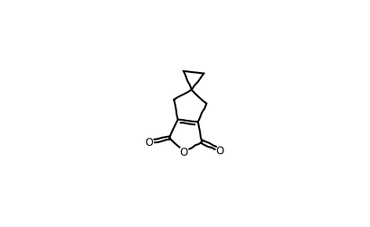 O=C1OC(=O)C2=C1CC1(CC1)C2